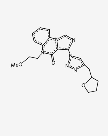 COCCn1c(=O)c2c(-n3cc(CC4CCCO4)nn3)ncn2c2ccccc21